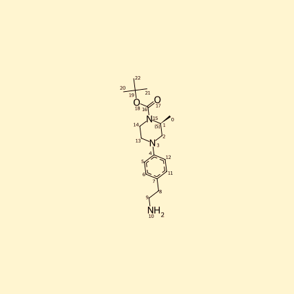 C[C@H]1CN(c2ccc(CCN)cc2)CCN1C(=O)OC(C)(C)C